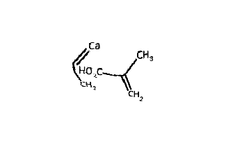 C=C(C)C(=O)O.C[CH]=[Ca]